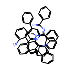 CN(/C(=N\C(=N)c1ccccc1)c1ccccc1)c1c(-c2ccccc2N)ccc2c3ccccc3n(-c3ccccc3-c3cc(-c4ccccc4)cc(-c4ccccc4-c4ccccc4)n3)c12